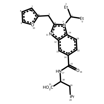 CCC(CC)n1c(Cc2ccco2)nc2cc(C(=O)NC(CC(C)C)C(=O)O)ccc21